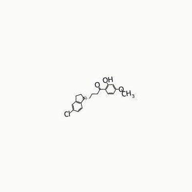 COc1ccc(C(=O)CCC[C@H]2CCc3cc(Cl)ccc32)c(O)c1